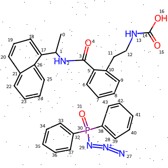 CC(NC(=O)c1ccccc1CCNC(=O)O)c1cccc2ccccc12.[N-]=[N+]=NP(=O)(c1ccccc1)c1ccccc1